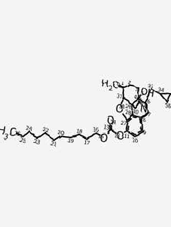 C=C1CCC2(O)C3Cc4ccc(OC(=O)OCCCCCCCCCCC)c5c4C2(CCN3CC2CC2)C1O5